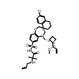 C=CCNC(C)(C)C(=O)NS(=O)(=O)c1ccc2c(c1)N(C[C@@H]1CC[C@H]1[C@H](C=C)OC)C[C@@]1(CCCc3cc(Cl)ccc31)CO2